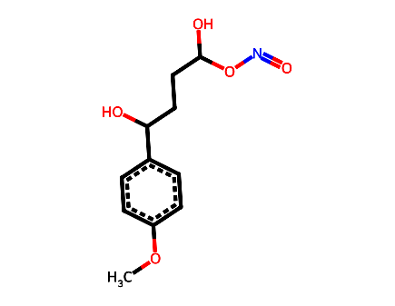 COc1ccc(C(O)CCC(O)ON=O)cc1